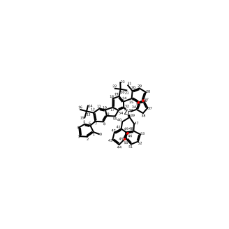 Cc1ccccc1-c1cc2c(cc1C(C)(C)C)-c1cc(C(C)(C)C)c(-c3ccccc3C)[c]([Zr]([C]3=CC=CC3)=[C](Cc3ccccc3)Cc3ccccc3)c1C2